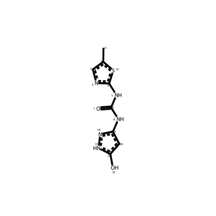 Cc1cnc(NC(=O)Nc2cc(O)[nH]n2)s1